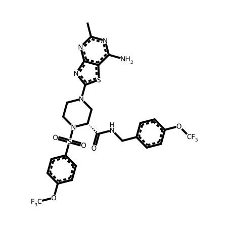 Cc1nc(N)c2sc(N3CCN(S(=O)(=O)c4ccc(OC(F)(F)F)cc4)[C@@H](C(=O)NCc4ccc(OC(F)(F)F)cc4)C3)nc2n1